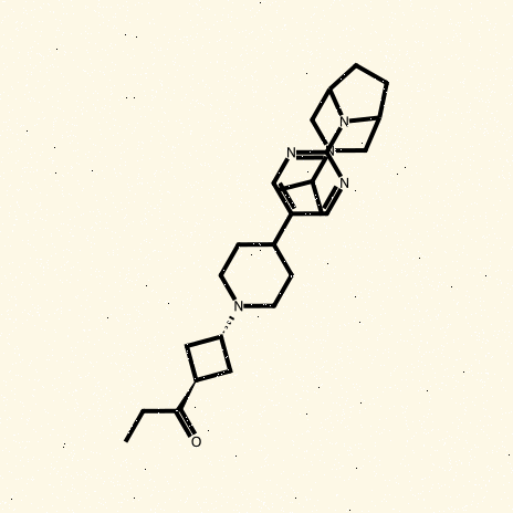 CCC(=O)[C@H]1C[C@H](N2CCC(c3cnc(N4C5CCC4CN(C(C)C)C5)nc3)CC2)C1